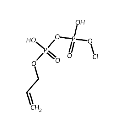 C=CCOP(=O)(O)OP(=O)(O)OCl